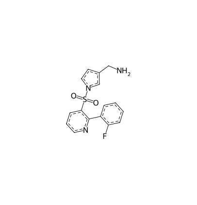 NCc1ccn(S(=O)(=O)c2cccnc2-c2ccccc2F)c1